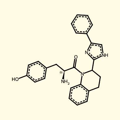 N[C@@H](Cc1ccc(O)cc1)C(=O)N1c2ccccc2CCC1c1nc(-c2ccccc2)c[nH]1